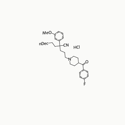 CCCCCCCCCCCCC(C#N)(CCCN1CCC(C(=O)c2ccc(F)cc2)CC1)c1cccc(OC)c1.Cl